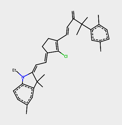 C=C(/C=C/C1=C(Cl)C(=C/C=C2/N(CC)c3ccc(C)cc3C2(C)C)/CC1)C(C)(C)c1cc(C)ccc1C